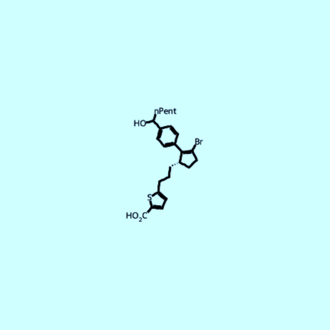 CCCCCC(O)c1ccc(C2=C(Br)CC[C@@H]2CCCc2ccc(C(=O)O)s2)cc1